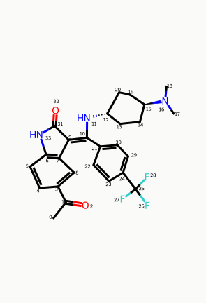 CC(=O)c1ccc2c(c1)/C(=C(/N[C@H]1CC[C@H](N(C)C)CC1)c1ccc(C(F)(F)F)cc1)C(=O)N2